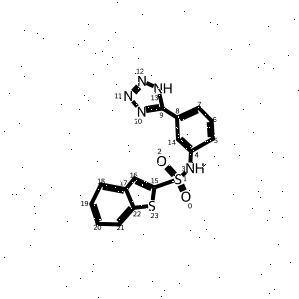 O=S(=O)(Nc1cccc(-c2nnn[nH]2)c1)c1cc2ccccc2s1